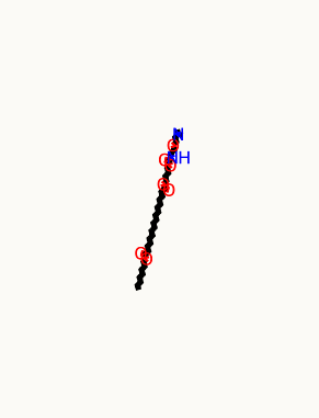 CCCCCCCCOC(=O)CCCCCCCCCCCCCCCCC(=O)OCCCCOC(=O)NCCOCCN(C)C